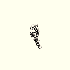 Cc1nnc(CCn2c(CN3CCC(c4cccc(OCc5ccc(Cl)cc5F)n4)CC3)nc3ccc(C(=O)O)cc32)o1